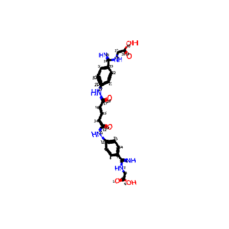 N=C(NCC(=O)O)c1ccc(NC(=O)CCCC(=O)Nc2ccc(C(=N)NCC(=O)O)cc2)cc1